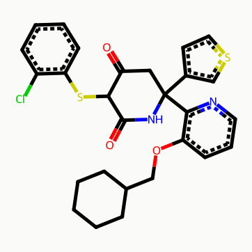 O=C1CC(c2ccsc2)(c2ncccc2OCC2CCCCC2)NC(=O)C1Sc1ccccc1Cl